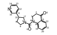 O=C1CCN(C(=O)N2CCC(c3cccnc3)C2)c2ccccc21